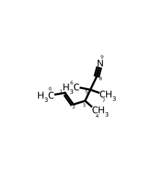 CC=CC(C)C(C)(C)C#N